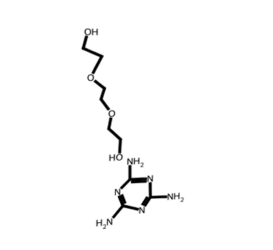 Nc1nc(N)nc(N)n1.OCCOCCOCCO